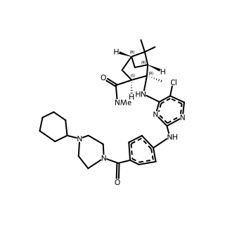 CNC(=O)[C@H]1C[C@H]2C[C@H](C2(C)C)[C@@]1(C)Nc1nc(Nc2ccc(C(=O)N3CCN(C4CCCCC4)CC3)cc2)ncc1Cl